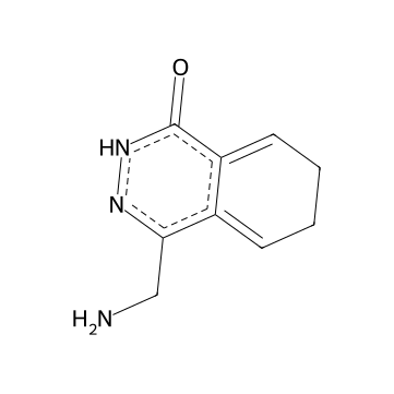 NCc1n[nH]c(=O)c2c1=CCCC=2